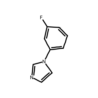 Fc1[c]ccc(-n2ccnc2)c1